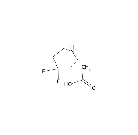 CC(=O)O.FC1(F)CCNCC1